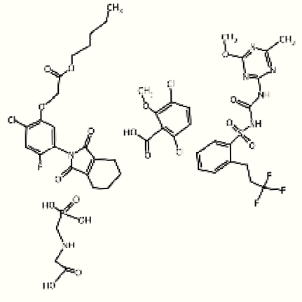 CCCCCOC(=O)COc1cc(N2C(=O)C3=C(CCCC3)C2=O)c(F)cc1Cl.COc1c(Cl)ccc(Cl)c1C(=O)O.COc1nc(C)nc(NC(=O)NS(=O)(=O)c2ccccc2CCC(F)(F)F)n1.O=C(O)CNCP(=O)(O)O